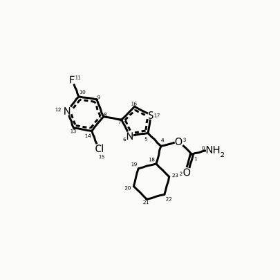 NC(=O)OC(c1nc(-c2cc(F)ncc2Cl)cs1)C1CCCCC1